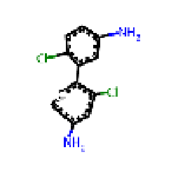 Nc1ccc(-c2cc(N)ccc2Cl)c(Cl)c1